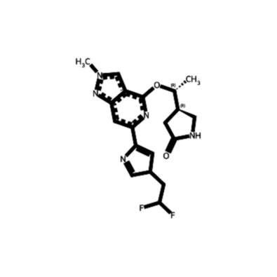 C[C@@H](Oc1nc(C2=CC(CC(F)F)C=N2)cc2nn(C)cc12)[C@H]1CNC(=O)C1